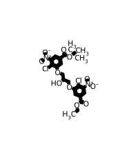 CCOC(=O)c1cc(OCC(O)COc2cc(C(=O)OC(C)(C)C)cc([N+](=O)[O-])c2Cl)c(Cl)c([N+](=O)[O-])c1